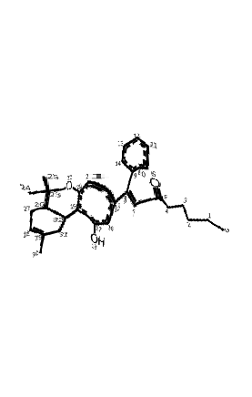 CCCCCC(=O)C=C(c1ccccc1)c1cc(O)c2c(c1)OC(C)(C)C1CC=C(C)CC21